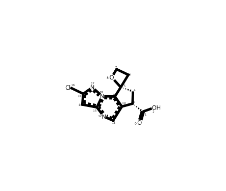 O=C(O)[C@H]1C[C@]2(CCO2)c2c1cnc1cc(Cl)nn21